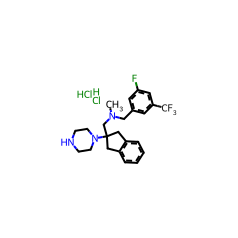 CN(Cc1cc(F)cc(C(F)(F)F)c1)CC1(N2CCNCC2)Cc2ccccc2C1.Cl.Cl